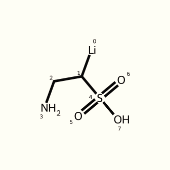 [Li][CH](CN)S(=O)(=O)O